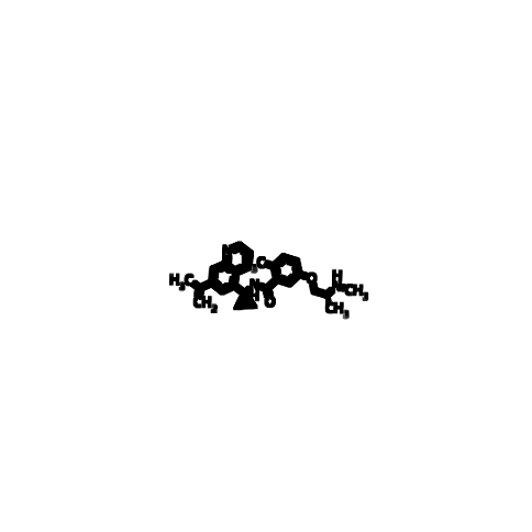 C=C(C)c1cc(C2(NC(=O)c3cc(OC[C@H](C)NC)ccc3C)CC2)c2cccnc2c1